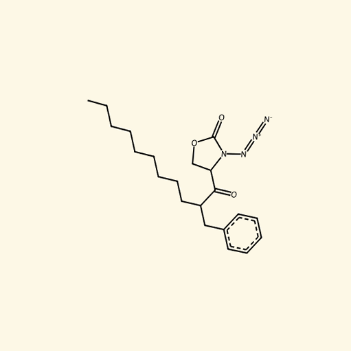 CCCCCCCCCC(Cc1ccccc1)C(=O)C1COC(=O)N1N=[N+]=[N-]